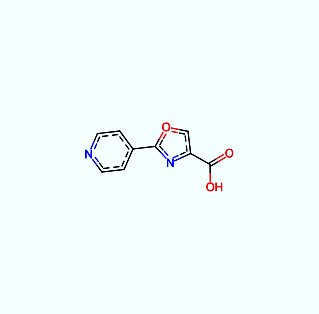 O=C(O)c1coc(-c2ccncc2)n1